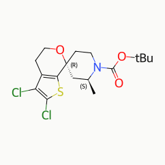 C[C@H]1C[C@@]2(CCN1C(=O)OC(C)(C)C)OCCc1c2sc(Cl)c1Cl